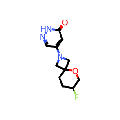 O=c1cc(N2CC3(CC[C@H](F)CO3)C2)cn[nH]1